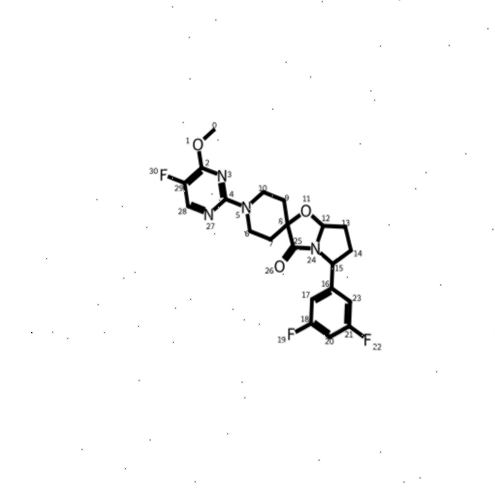 COc1nc(N2CCC3(CC2)OC2CCC(c4cc(F)cc(F)c4)N2C3=O)ncc1F